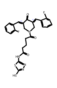 O=C(CCCC(=O)N1C/C(=C\c2ccccc2F)C(=O)/C(=C/c2ccccc2F)C1)Nc1nnc(S)s1